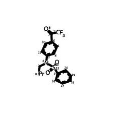 CC(C)CN(c1ccc(C(=O)C(F)(F)F)cc1)S(=O)(=O)c1ccccc1